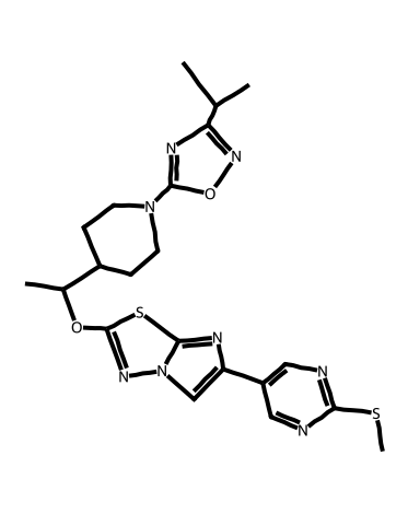 CSc1ncc(-c2cn3nc(OC(C)C4CCN(c5nc(C(C)C)no5)CC4)sc3n2)cn1